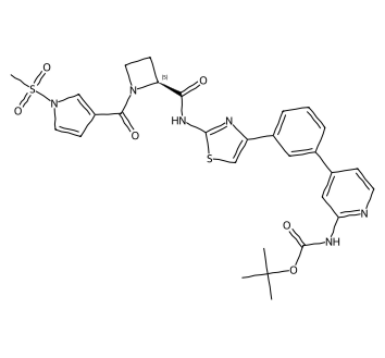 CC(C)(C)OC(=O)Nc1cc(-c2cccc(-c3csc(NC(=O)[C@@H]4CCN4C(=O)c4ccn(S(C)(=O)=O)c4)n3)c2)ccn1